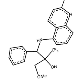 COCC(O)(C(Nc1cccc2nc(C)ccc12)c1ccccc1)C(F)(F)F